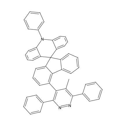 Cc1c(-c2ccccc2)nnc(-c2ccccc2)c1-c1cccc2c1-c1ccccc1C21c2ccccc2N(c2ccccc2)c2ccccc21